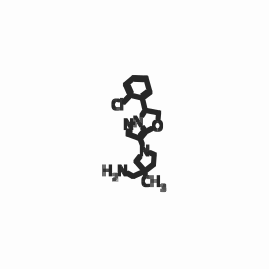 CC1(CN)CCN(c2cnn3c2OCC3c2ccccc2Cl)C1